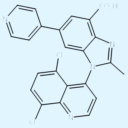 Cc1nc2c(C(=O)O)cc(-c3ccncc3)cc2n1-c1ccnc2c(Cl)ccc(Cl)c12